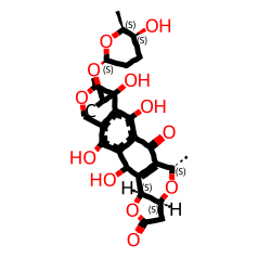 CC1OC2CC(O[C@H]3CC[C@H](O)[C@H](C)O3)C1(O)c1c(O)c3c(c(O)c12)C(O)C1=C(C3=O)[C@H](C)O[C@H]2CC(=O)O[C@@H]12